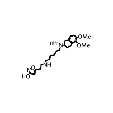 CCCN(CCCCCCNCCc1cc(O)no1)[C@H]1CCc2c(ccc(OC)c2OC)C1